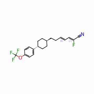 N#C/C(F)=C/C=C/CC[C@H]1CC[C@H](c2ccc(OC(F)(F)F)cc2)CC1